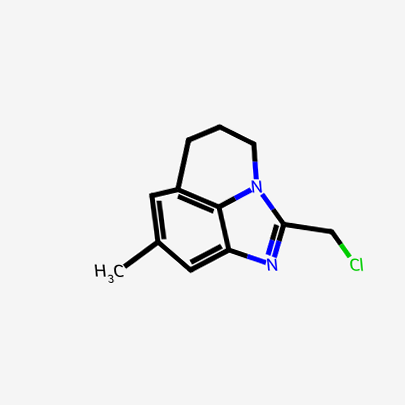 Cc1cc2c3c(c1)nc(CCl)n3CCC2